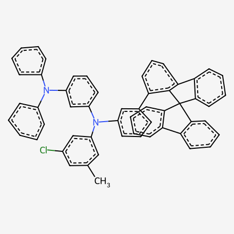 Cc1cc(Cl)cc(N(c2cccc(-c3cccc4c3C3(c5ccccc5-c5ccccc53)c3ccccc3-4)c2)c2cccc(N(c3ccccc3)c3ccccc3)c2)c1